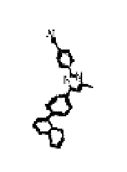 Cc1cc(-c2ccc(-c3cccc4ccccc34)cc2)nc(-c2ccc(C#N)cc2)n1